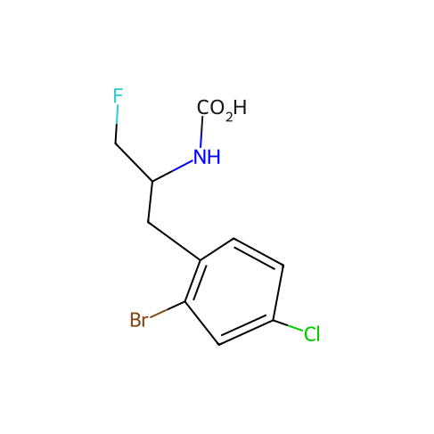 O=C(O)NC(CF)Cc1ccc(Cl)cc1Br